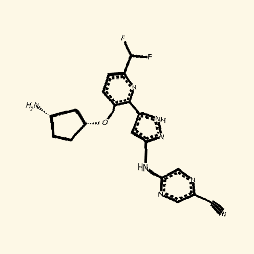 N#Cc1cnc(Nc2cc(-c3nc(C(F)F)ccc3O[C@@H]3CC[C@H](N)C3)[nH]n2)cn1